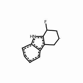 FC1C[CH]Cc2c1[nH]c1ccccc21